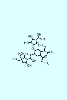 COC(=O)C1CC(OC(O)C2C(O)CC(CO)(CO)C2O)C(OC2C(O)C(O)C(C(C)O)[C@@H]2O)CC1C(=O)OC